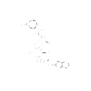 CC(C)CC(NC(=O)Oc1cc2sccc2s1)C(=O)N1CCC2C1C(=O)CN2S(=O)(=O)c1ccc[n+]([O-])c1